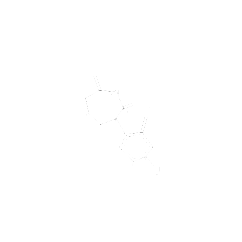 O=C1CCCC(n2ncc(Cl)cc2=O)C(=O)N1